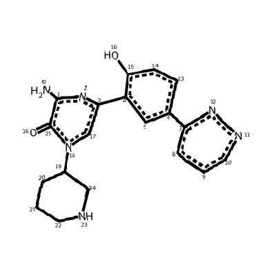 Nc1nc(-c2cc(-c3cccnn3)ccc2O)cn(C2CCCNC2)c1=O